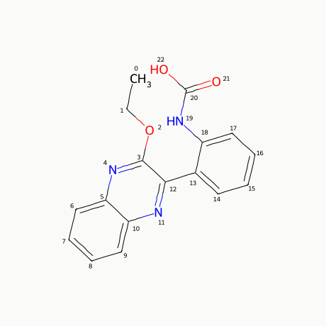 CCOc1nc2ccccc2nc1-c1ccccc1NC(=O)O